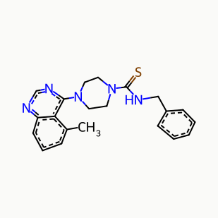 Cc1cccc2ncnc(N3CCN(C(=S)NCc4ccccc4)CC3)c12